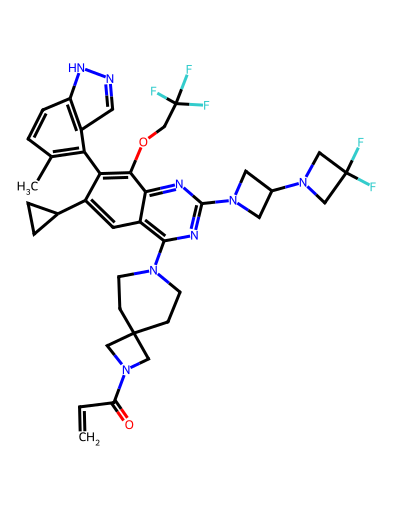 C=CC(=O)N1CC2(CCN(c3nc(N4CC(N5CC(F)(F)C5)C4)nc4c(OCC(F)(F)F)c(-c5c(C)ccc6[nH]ncc56)c(C5CC5)cc34)CC2)C1